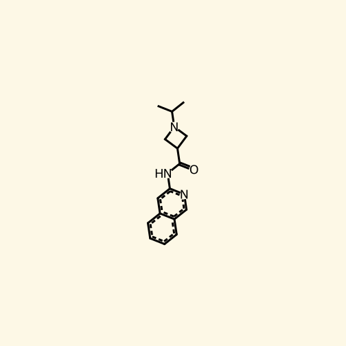 CC(C)N1CC(C(=O)Nc2cc3ccccc3cn2)C1